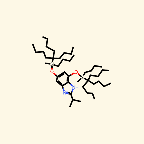 CCCCC(CCCC)(CCCC)[Si](C)(CCCC)Oc1cc(O[Si](C)(CCCC)C(CCCC)(CCCC)CCCC)c2[nH]c(C(C)C)nc2c1